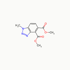 COC(=O)c1ccc2c(nnn2C)c1C(=O)OC